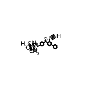 Cn1c(=O)c2c(ncn2Cc2ccc(C(=O)c3ccc(-c4ccccc4)cc3CN3CCNCC3)cc2)n(C)c1=O